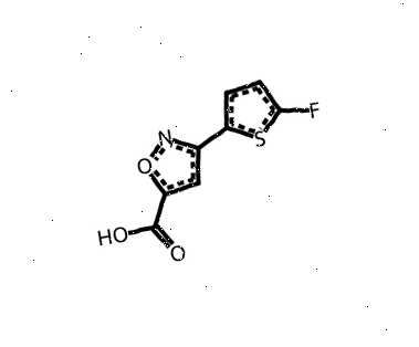 O=C(O)c1cc(-c2ccc(F)s2)no1